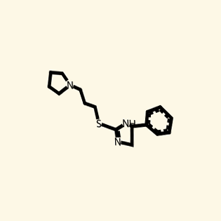 c1ccc(C2CN=C(SCCCN3CCCC3)N2)cc1